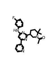 CC(=O)N1CC(c2nc(Nc3cccc(F)c3)cc(-c3cccnc3)n2)CCC1(C)C